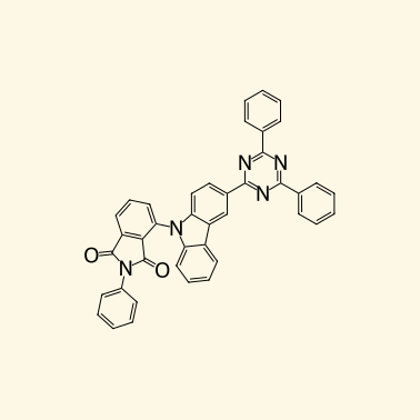 O=C1c2cccc(-n3c4ccccc4c4cc(-c5nc(-c6ccccc6)nc(-c6ccccc6)n5)ccc43)c2C(=O)N1c1ccccc1